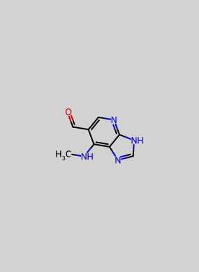 CNc1c(C=O)cnc2[nH]cnc12